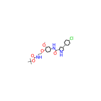 COc1cc(NC(=O)c2cc(-c3ccc(Cl)cc3)c[nH]2)ccc1OCCNC(=O)OC(C)(C)C